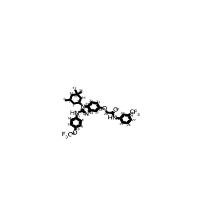 CC1CC(n2c(Nc3ccc(OC(F)(F)F)cc3)nc3cc(OCC(=O)Nc4cccc(C(F)(F)F)c4)ccc32)CC(C)(C)C1